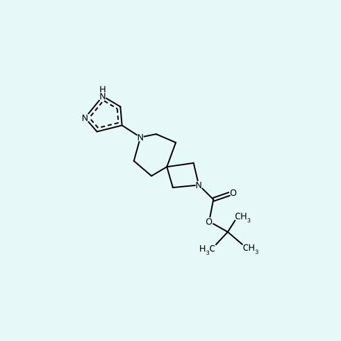 CC(C)(C)OC(=O)N1CC2(CCN(c3cn[nH]c3)CC2)C1